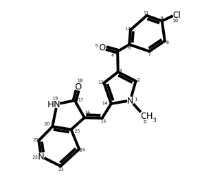 Cn1cc(C(=O)c2ccc(Cl)cc2)cc1C=C1C(=O)Nc2cnccc21